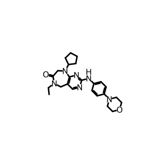 CCN1Cc2cnc(Nc3ccc(N4CCOCC4)cc3)nc2N(C2CCCC2)CC1=O